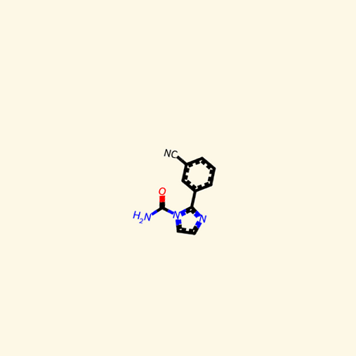 N#Cc1cccc(-c2nccn2C(N)=O)c1